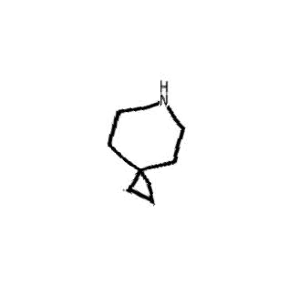 [CH]1CC12CCNCC2